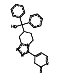 O=C1CC(c2nnc3n2CCC(C(O)(c2ccccc2)c2ccccc2)C3)=CC=N1